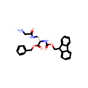 NCC(=O)NC[C@H](NC(=O)OCC1c2ccccc2-c2ccccc21)C(=O)OCc1ccccc1